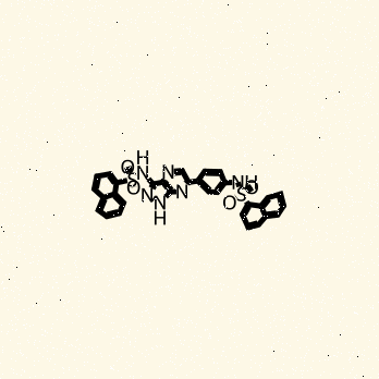 O=S(=O)(Nc1ccc(-c2cnc3c(NS(=O)(=O)c4cccc5ccccc45)n[nH]c3n2)cc1)c1cccc2ccccc12